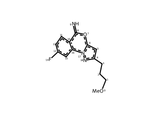 COCCCc1cc2oc(=N)c3ccc(F)cc3n2n1